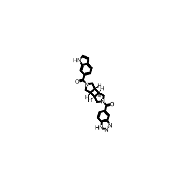 O=C(c1ccc2[nH]nnc2c1)N1C[C@@H]2[C@H](C1)[C@H]1CN(C(=O)c3ccc4cc[nH]c4c3)C[C@@H]21